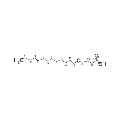 CCCCCCCCCCCCCOCCCC(=O)O